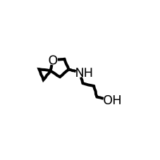 OCCCNC1COC2(CC2)C1